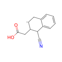 N#CC1c2ccccc2C[C]C1CC(=O)O